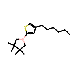 CCCCCCc1csc(B2CC(C)(C)C(C)(C)C2)c1